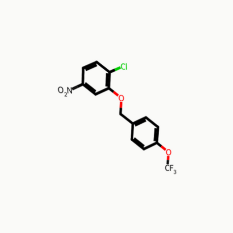 O=[N+]([O-])c1ccc(Cl)c(OCc2ccc(OC(F)(F)F)cc2)c1